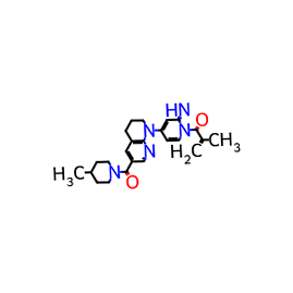 C=C(C)C(=O)n1ccc(N2CCCc3cc(C(=O)N4CCC(C)CC4)cnc32)cc1=N